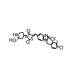 O=C1S/C(=C\c2ccc3c(c2)nnn3Cc2ccc(Cl)cc2C(F)(F)F)C(=O)N1[C@@H]1CCN[C@@H](CO)C1